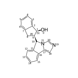 O[C@@H]1c2ccccc2C[C@@H]1C1c2ccccc2-c2cncn21